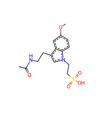 COc1ccc2c(c1)c(CCNC(C)=O)cn2CCS(=O)(=O)O